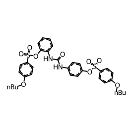 CCCCOc1ccc(S(=O)(=O)Oc2ccc(NC(=O)Nc3ccccc3OS(=O)(=O)c3ccc(OCCCC)cc3)cc2)cc1